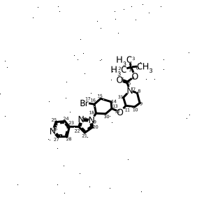 CC(C)(C)OC(=O)N1CCCC(OC2CCC(Br)C(n3ccc(-c4ccncc4)n3)C2)C1